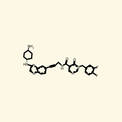 N[C@H]1CC[C@H](Nc2cnc3ccc(C#CCNC(=O)c4cncn(Cc5ccc(F)c(F)c5)c4=O)cc3n2)CC1